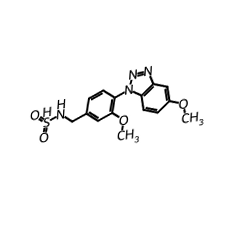 COc1ccc2c(c1)nnn2-c1ccc(CN[SH](=O)=O)cc1OC